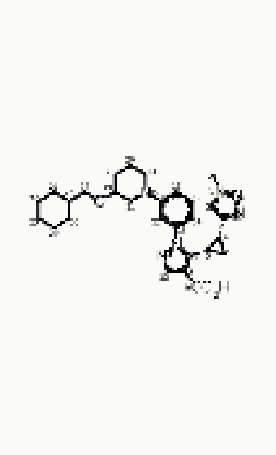 Cn1cc([C@@H]2C[C@H]2c2c(C(=O)O)cnn2-c2cccc(N3CCCC(OCC4CCCCC4)C3)c2)nn1